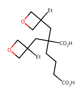 CCC1(CC(CCCC(=O)O)(CC2(CC)COC2)C(=O)O)COC1